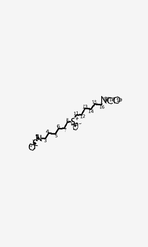 O=C=NCCCCCC[S+]([O-])CCCCCCN=C=O